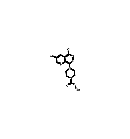 CC(C)(C)OC(=O)N1CCN(c2nnc(Cl)c3cc(Cl)cnc23)CC1